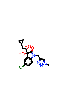 [CH2]n1cc(CN2C(=O)C(O)(C(O)CC3CC3)c3cc(Cl)ccc32)nn1